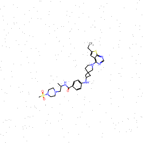 CC(CN1CCN(S(C)(=O)=O)CC1)NC(=O)c1ccc(NC2CC3(CCN(c4ncnc5sc(CC(F)(F)F)cc45)C3)C2)cc1